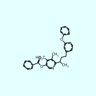 Cc1c(C(C)CCc2cccc(Oc3ccccc3)c2)ncc(OC(=O)c2ccccc2)c1C(=O)O